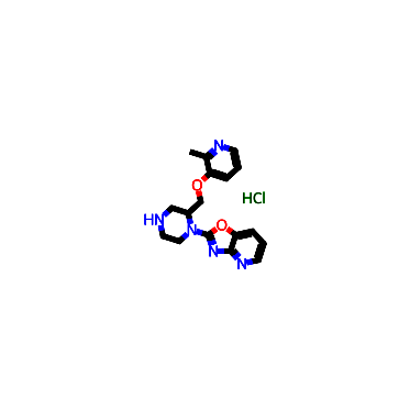 Cc1ncccc1OCC1CNCCN1c1nc2ncccc2o1.Cl